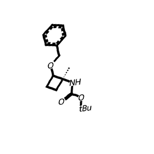 CC(C)(C)OC(=O)N[C@@]1(C)CCC1OCc1ccccc1